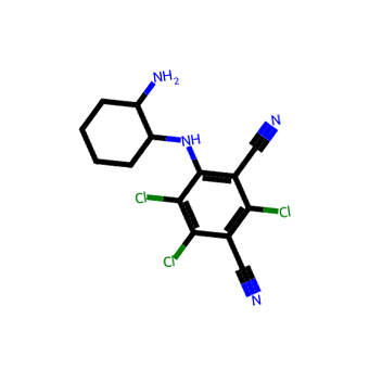 N#Cc1c(Cl)c(Cl)c(NC2CCCCC2N)c(C#N)c1Cl